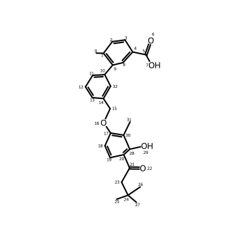 Cc1ccc(C(=O)O)cc1-c1cccc(COc2ccc(C(=O)CC(C)(C)C)c(O)c2C)c1